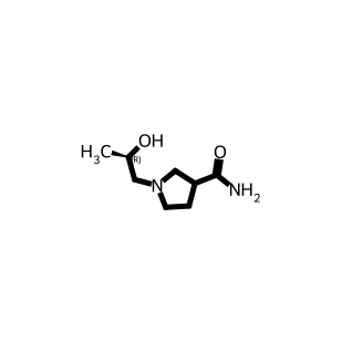 C[C@@H](O)CN1CCC(C(N)=O)C1